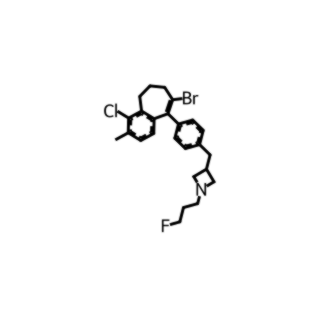 Cc1ccc2c(c1Cl)CCCC(Br)=C2c1ccc(CC2CN(CCCF)C2)cc1